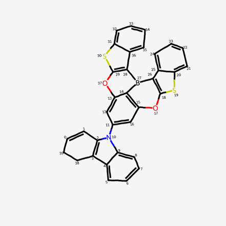 C1=Cc2c(c3ccccc3n2-c2cc3c4c(c2)Oc2sc5ccccc5c2B4c2c(sc4ccccc24)O3)CC1